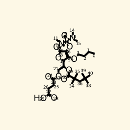 CCCCOC1=C(OP(=O)(N(C)C)N(C)C)C(=O)OC1C(COC(=O)CCC(=O)O)OC(=O)C(C)(C)CC(C)(C)C